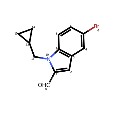 O=Cc1cc2cc(Br)ccc2n1CC1CC1